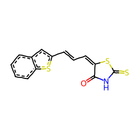 O=C1NC(=S)SC1=CC=Cc1cc2ccccc2s1